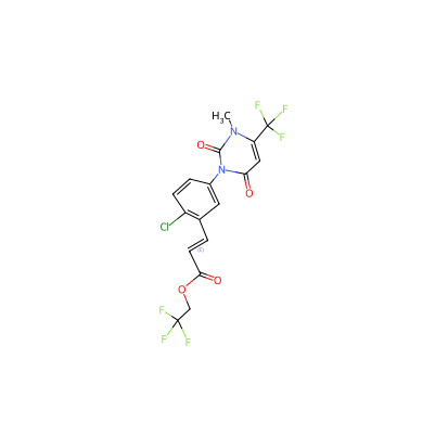 Cn1c(C(F)(F)F)cc(=O)n(-c2ccc(Cl)c(/C=C/C(=O)OCC(F)(F)F)c2)c1=O